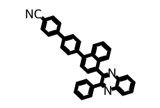 N#Cc1ccc(-c2ccc(-c3ccc(-c4nc5ccccc5nc4-c4ccccc4)c4ccccc34)cc2)cc1